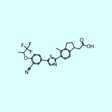 Cc1c(-c2ncc(-c3ccc(OC(C)C(F)(F)F)c(C#N)c3)s2)ccc2c1CCC2CC(=O)O